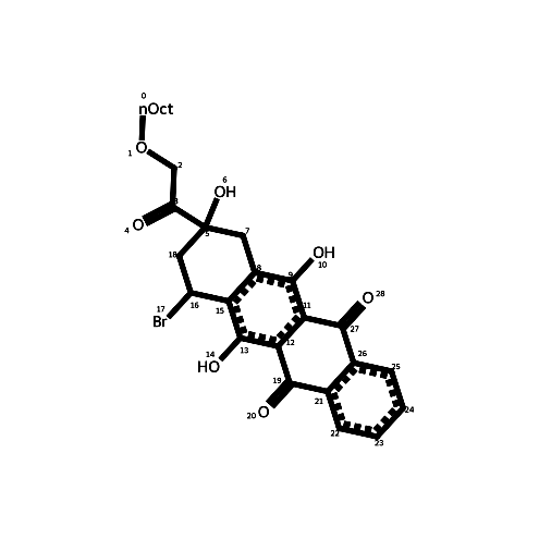 CCCCCCCCOCC(=O)C1(O)Cc2c(O)c3c(c(O)c2C(Br)C1)C(=O)c1ccccc1C3=O